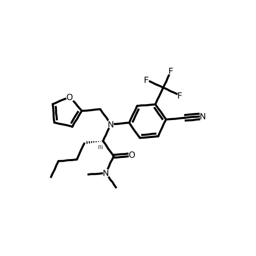 CCCC[C@@H](C(=O)N(C)C)N(Cc1ccco1)c1ccc(C#N)c(C(F)(F)F)c1